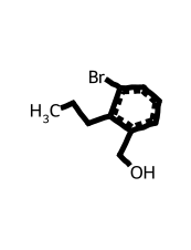 CCCc1c(Br)cccc1CO